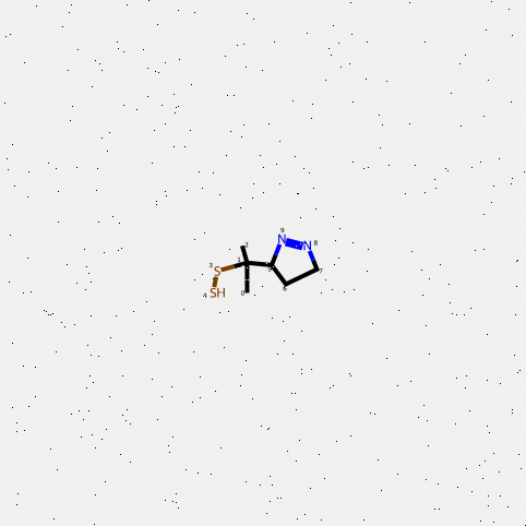 CC(C)(SS)C1CCN=N1